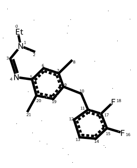 CCN(C)/C=N\c1cc(C)c(Cc2cccc(F)c2F)cc1C